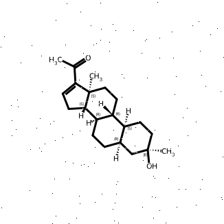 CC(=O)C1=CC[C@H]2[C@@H]3CC[C@@H]4C[C@](C)(O)CC[C@@H]4[C@H]3CC[C@]12C